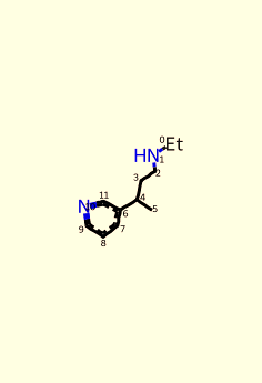 CCNCCC(C)c1cccnc1